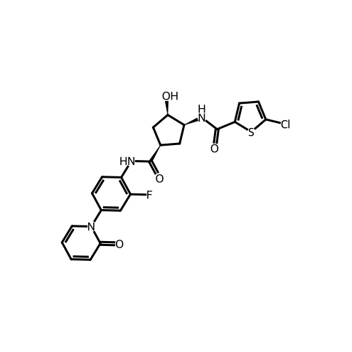 O=C(N[C@H]1C[C@@H](C(=O)Nc2ccc(-n3ccccc3=O)cc2F)C[C@H]1O)c1ccc(Cl)s1